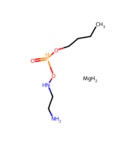 CCCCO[PH](=O)ONCCN.[MgH2]